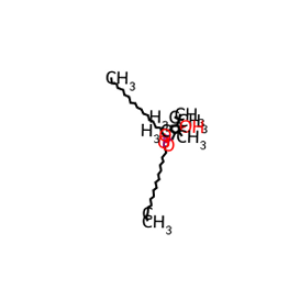 CCCCCCCCCCCCCCCCCCOP(=O)(Cc1c(C)cc(C(C)(C)C)c(O)c1C)OCCCCCCCCCCCCCCCCCC